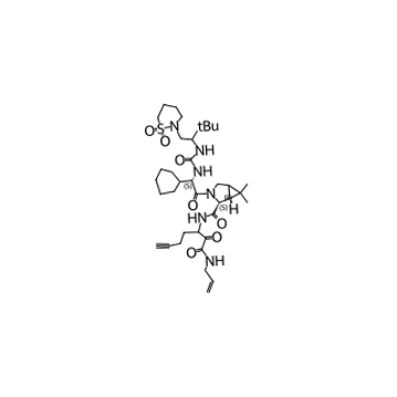 C#CCCC(NC(=O)[C@@H]1[C@@H]2C(CN1C(=O)[C@@H](NC(=O)NC(CN1CCCCS1(=O)=O)C(C)(C)C)C1CCCCC1)C2(C)C)C(=O)C(=O)NCC=C